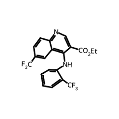 CCOC(=O)c1cnc2ccc(C(F)(F)F)cc2c1Nc1ccccc1C(F)(F)F